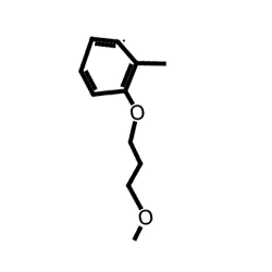 COCCCOc1ccc[c]c1C